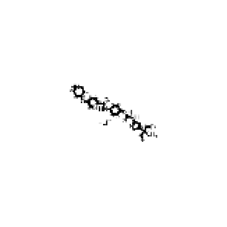 CC(CF)(CF)c1cc(NC(=O)Nc2ccc(NC(=O)c3ccc(OC4CCNCC4)cn3)cc2)no1.Cl